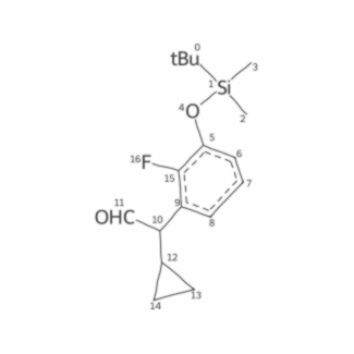 CC(C)(C)[Si](C)(C)Oc1cccc(C(C=O)C2CC2)c1F